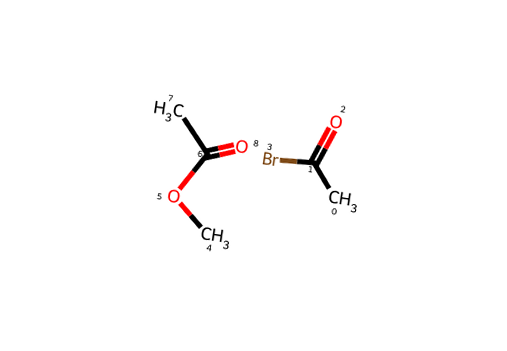 CC(=O)Br.COC(C)=O